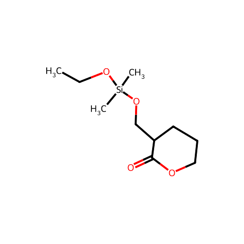 CCO[Si](C)(C)OCC1CCCOC1=O